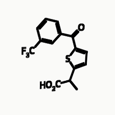 CC(C(=O)O)c1ccc(C(=O)c2cccc(C(F)(F)F)c2)s1